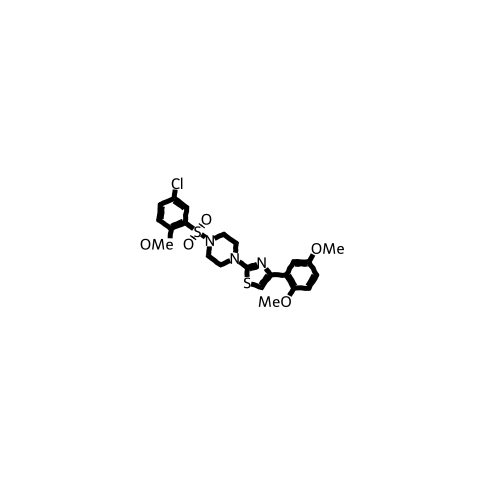 COc1ccc(OC)c(-c2csc(N3CCN(S(=O)(=O)c4cc(Cl)ccc4OC)CC3)n2)c1